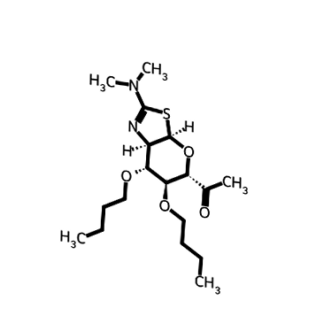 CCCCO[C@@H]1[C@H]2N=C(N(C)C)S[C@H]2O[C@H](C(C)=O)[C@H]1OCCCC